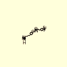 FC(F)(F)c1ccc(C=Cc2nc(COc3ccc(CCCCc4c[nH]nn4)cc3)co2)cc1